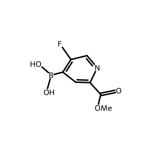 COC(=O)c1cc(B(O)O)c(F)cn1